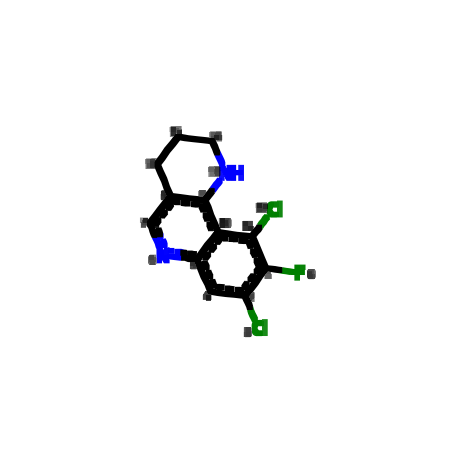 Fc1c(Cl)cc2ncc3c(c2c1Cl)NCCC3